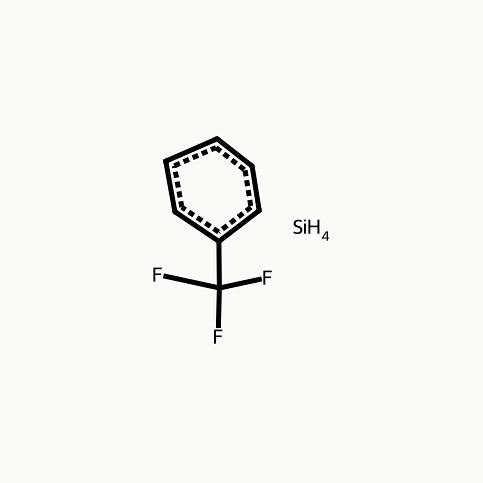 FC(F)(F)c1ccccc1.[SiH4]